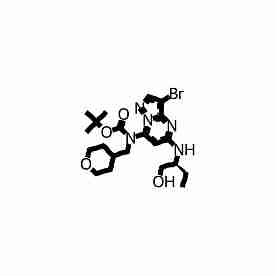 CC[C@@H](CO)Nc1cc(N(CC2CCOCC2)C(=O)OC(C)(C)C)n2ncc(Br)c2n1